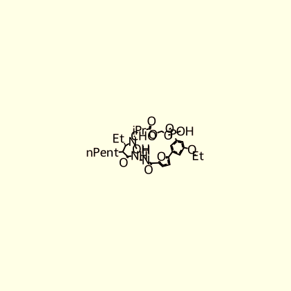 CCCCCC(C(=O)NCNC(=O)c1ccc(-c2cc(OCC)cc(P(=O)(O)OCOC(=O)C(C)C)c2)o1)[C@@H](CC)N(O)C=O